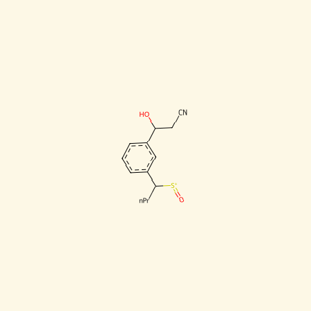 CCCC([S+]=O)c1cccc(C(O)CC#N)c1